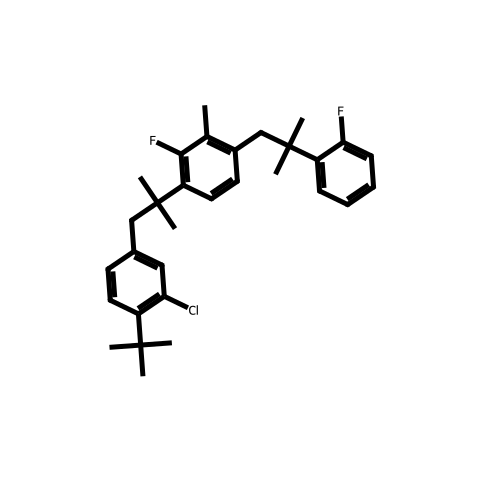 Cc1c(CC(C)(C)c2ccccc2F)ccc(C(C)(C)Cc2ccc(C(C)(C)C)c(Cl)c2)c1F